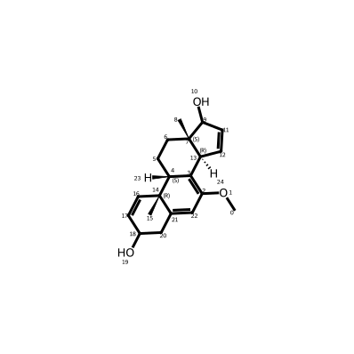 COC1=C2[C@@H](CC[C@]3(C)C(O)C=C[C@@H]23)[C@@]2(C)C=CC(O)CC2=C1